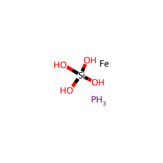 O[Si](O)(O)O.P.[Fe]